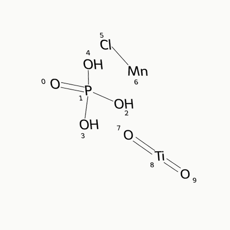 O=P(O)(O)O.[Cl][Mn].[O]=[Ti]=[O]